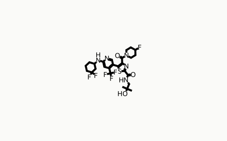 CC(C)(O)CNC(=O)c1nc(C(=O)N2CCC(F)CC2)c(-c2cnc(NC3CCCC(F)(F)C3)cc2C(F)(F)F)s1